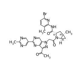 CC(=O)c1nn(CC(=O)N2[C@H](C(=O)Nc3nc(Br)ccc3C)C[C@@]3(C)C[C@@H]23)c2cnc(-c3cnc(C)nc3)nc12